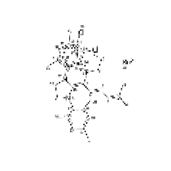 CCP(C(C=CC=C(C)C)=C1N(c2c(C)cc(C)cc2C)CCN1c1c(C)cc(C)cc1C)c1cccc(Cl)c1Cl.[Ru+2]